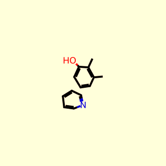 Cc1cccc(O)c1C.c1ccncc1